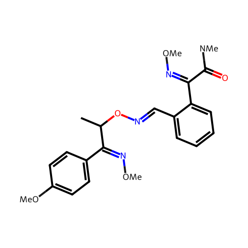 CNC(=O)C(=NOC)c1ccccc1C=NOC(C)C(=NOC)c1ccc(OC)cc1